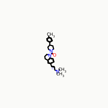 Cc1ccc(C2CCN(C(=O)N3CCCc4cc(/C=C/CN(C)C)ccc43)CC2)cc1